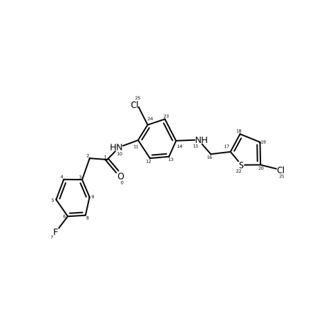 O=C(Cc1ccc(F)cc1)Nc1ccc(NCc2ccc(Cl)s2)cc1Cl